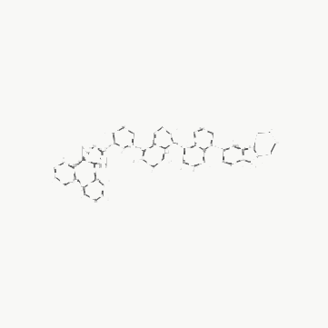 C1=Cc2sc3ccc(-c4cccc5c(-c6cccc7c(-c8cccc(-c9cnc%10c%11ccccc%11c%11ccccc%11c%10n9)c8)cccc67)cccc45)cc3c2CC1